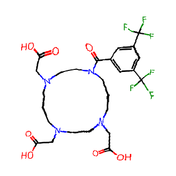 O=C(O)CN1CCCN(CC(=O)O)CCN(C(=O)c2cc(C(F)(F)F)cc(C(F)(F)F)c2)CCCN(CC(=O)O)CC1